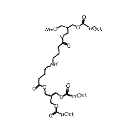 CCCCCCCCC(=O)OCC(COC)COC(=O)CCCNCCCC(=O)OCC(COC(=O)CCCCCCCC)COC(=O)CCCCCCCC